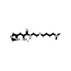 CN(C)CCCCOCCNC(=O)C(N)Cc1cnc[nH]1